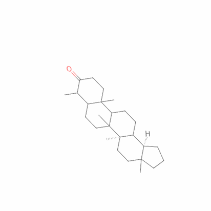 CC1C(=O)CCC2(C)C1CCC1(C)C2CCC2[C@H]3CCCC3(C)CC[C@]21C